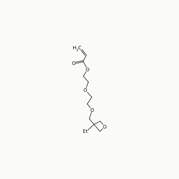 C=CC(=O)OCCOCCOCC1(CC)COC1